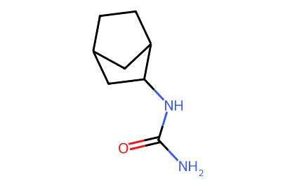 NC(=O)NC1CC2CCC1C2